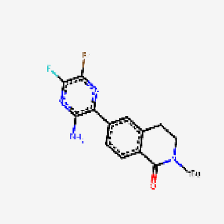 CC(C)(C)N1CCc2cc(-c3nc(Br)c(F)nc3N)ccc2C1=O